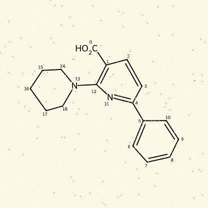 O=C(O)c1ccc(-c2ccccc2)nc1N1CCCCC1